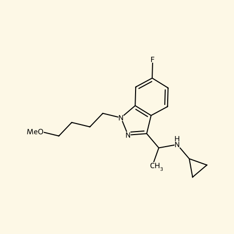 COCCCCn1nc(C(C)NC2CC2)c2ccc(F)cc21